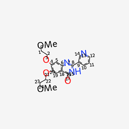 COCCOc1cc2nc(-c3cccnc3)[nH]c(=O)c2cc1OCCOC